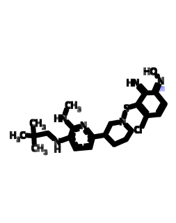 CNc1nc(C2CCCN(SC3=C(Cl)C=C/C(=N/O)C3=N)C2)ccc1NCC(C)(C)C